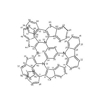 c1ccc(-c2sc3ccccc3c2N2c3cc(-n4c5ccccc5c5ccccc54)cc4c3B(c3sc5ccccc5c32)c2sc3ccccc3c2N4c2c(-c3ccccc3)sc3ccccc23)cc1